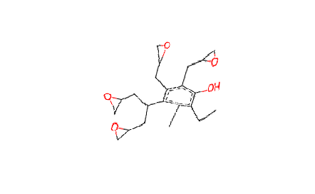 CCc1c(C)c(C(CC2CO2)CC2CO2)c(CC2CO2)c(CC2CO2)c1O